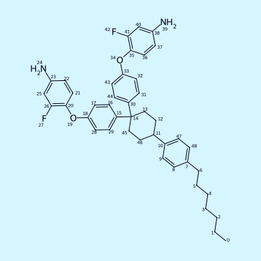 CCCCCCCc1ccc(C2CCC(c3ccc(Oc4ccc(N)cc4F)cc3)(c3ccc(Oc4ccc(N)cc4F)cc3)CC2)cc1